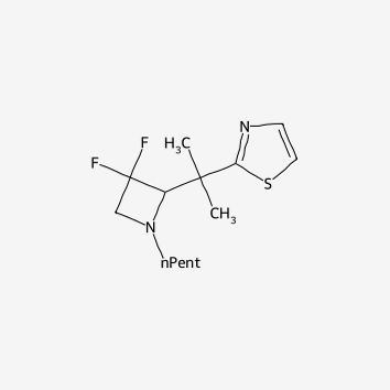 CCCCCN1CC(F)(F)C1C(C)(C)c1nccs1